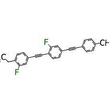 CCc1ccc(C#Cc2ccc(C#Cc3ccc(C)cc3)cc2F)cc1F